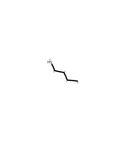 CCC[CH]S